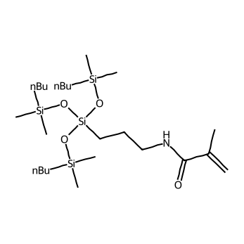 C=C(C)C(=O)NCCC[Si](O[Si](C)(C)CCCC)(O[Si](C)(C)CCCC)O[Si](C)(C)CCCC